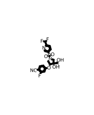 C[C@@H](O)[C@]1(O)CN(S(=O)(=O)c2ccc(C(F)F)nc2)C[C@@H]1Oc1ccc(C#N)c(F)c1